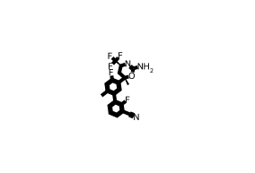 Cc1cc(F)c([C@]2(C)C[C@@H](C(F)(F)F)N=C(N)O2)cc1-c1cccc(C#N)c1F